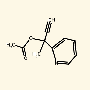 C#CC(C)(OC(C)=O)c1ccccn1